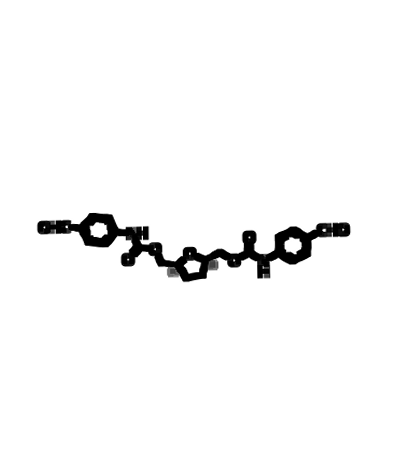 O=Cc1ccc(NC(=O)OC[C@H]2CC[C@@H](COC(=O)Nc3ccc(C=O)cc3)O2)cc1